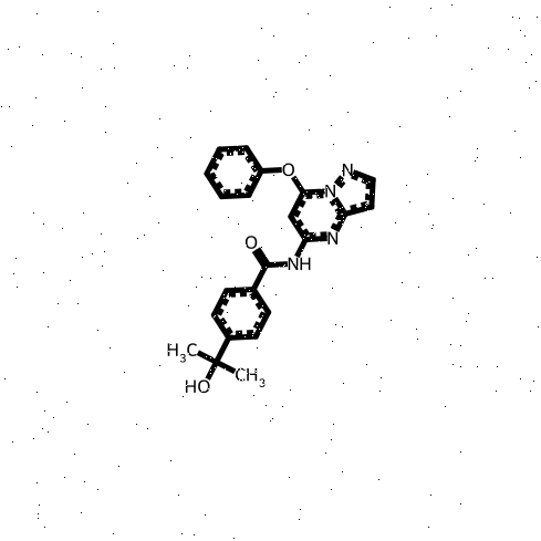 CC(C)(O)c1ccc(C(=O)Nc2cc(Oc3ccccc3)n3nccc3n2)cc1